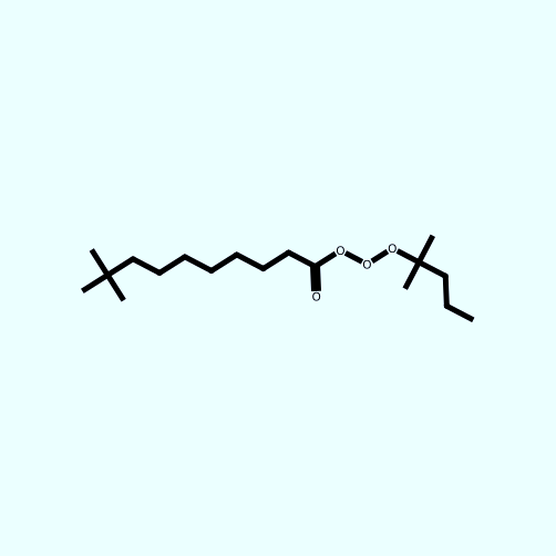 CCCC(C)(C)OOOC(=O)CCCCCCCC(C)(C)C